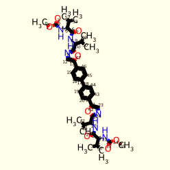 COC(=O)N[C@@H](C(=O)N[C@H](c1ncc(-c2ccc(-c3ccc(-c4cnc([C@@H](NC(=O)[C@H](NC(=O)OC)C(C)C)C(C)C)o4)cc3)cc2)o1)C(C)C)C(C)C